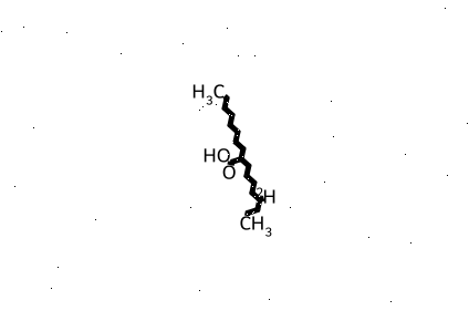 [2H]C(CCC)CCCCC(CCCCCCCC)C(=O)O